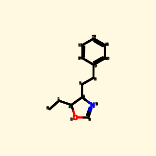 CCC1OC=NC1CCc1ccccc1